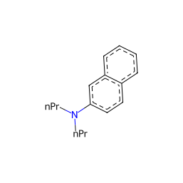 CCCN(CCC)c1ccc2ccccc2c1